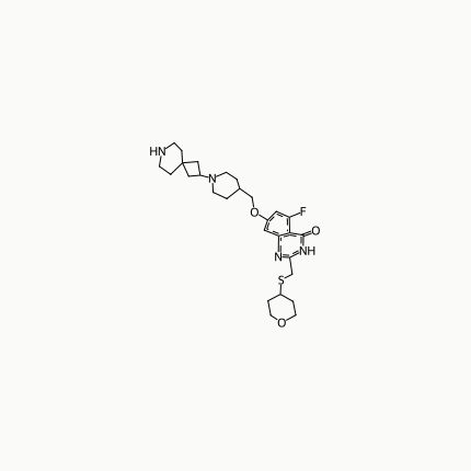 O=c1[nH]c(CSC2CCOCC2)nc2cc(OCC3CCN(C4CC5(CCNCC5)C4)CC3)cc(F)c12